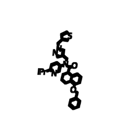 CC(C)c1ccc(N(Cc2cnn(Cc3ccsc3)c2)C(=O)C2CCCc3c(OCc4ccccc4)cccc32)cn1